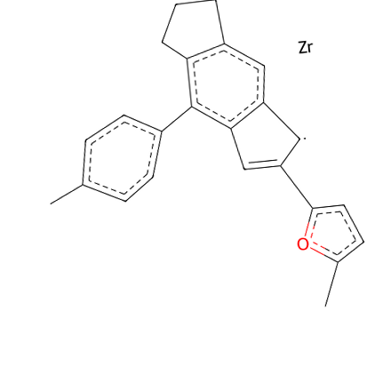 Cc1ccc(-c2c3c(cc4c2CCC4)[CH]C(c2ccc(C)o2)=C3)cc1.[Zr]